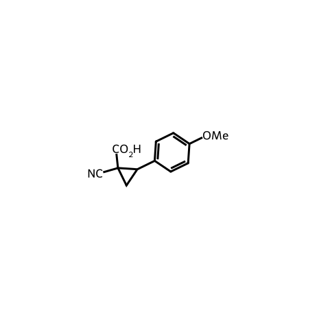 COc1ccc(C2CC2(C#N)C(=O)O)cc1